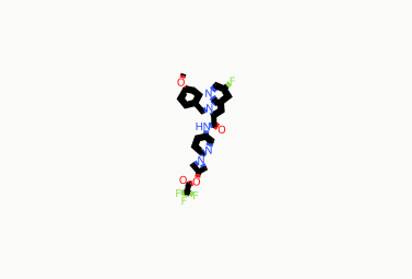 COc1ccc(Cn2c(C(=O)Nc3ccc(N4CC(OC(=O)C(F)(F)F)C4)nc3)cc3cc(F)cnc32)cc1